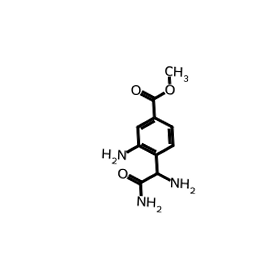 COC(=O)c1ccc(C(N)C(N)=O)c(N)c1